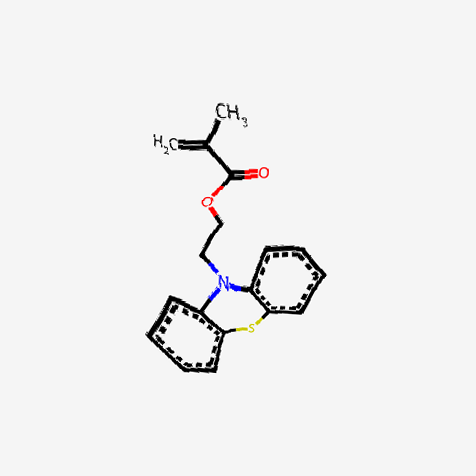 C=C(C)C(=O)OCCN1c2ccccc2Sc2ccccc21